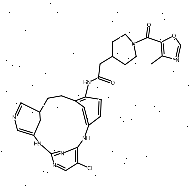 Cc1ncoc1C(=O)N1CCC(CC(=O)Nc2ccc3cc2CCC2C=NC=C(C2)Nc2ncc(Cl)c(n2)N3)CC1